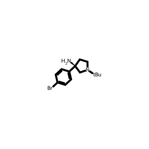 CC(C)(C)N1CC[C@@](N)(c2ccc(Br)cc2)C1